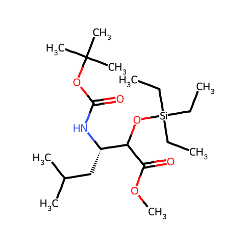 CC[Si](CC)(CC)OC(C(=O)OC)[C@H](CC(C)C)NC(=O)OC(C)(C)C